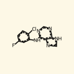 Fc1ccc(Cl)c(Nc2ncnc3[nH]cnc23)c1